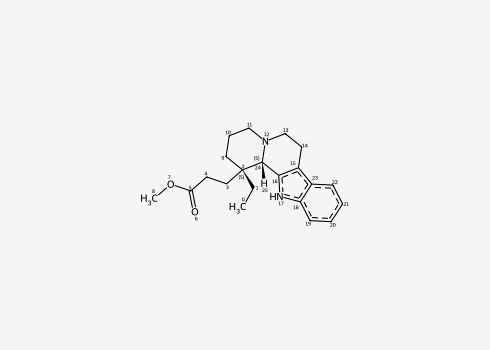 CC[C@@]1(CCC(=O)OC)CCCN2CCc3c([nH]c4ccccc34)[C@@H]21